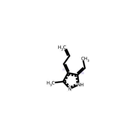 C=C/C=c1/c(C)n[nH]/c1=C/C